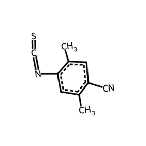 Cc1cc(N=C=S)c(C)cc1C#N